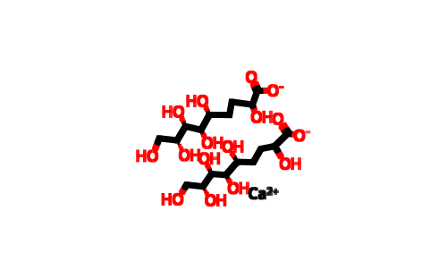 O=C([O-])C(O)CC[C@H](O)[C@@H](O)[C@H](O)[C@H](O)CO.O=C([O-])C(O)CC[C@H](O)[C@@H](O)[C@H](O)[C@H](O)CO.[Ca+2]